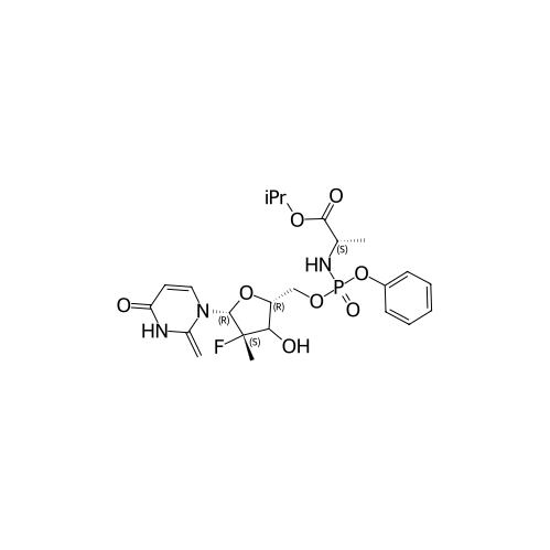 C=C1NC(=O)C=CN1[C@@H]1O[C@H](COP(=O)(N[C@@H](C)C(=O)OC(C)C)Oc2ccccc2)C(O)[C@]1(C)F